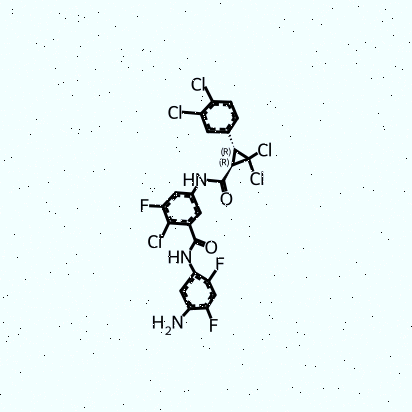 Nc1cc(NC(=O)c2cc(NC(=O)[C@H]3[C@H](c4ccc(Cl)c(Cl)c4)C3(Cl)Cl)cc(F)c2Cl)c(F)cc1F